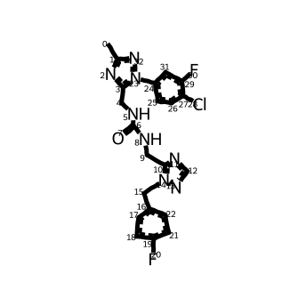 Cc1nc(CNC(=O)NCc2ncnn2Cc2ccc(F)cc2)n(-c2ccc(Cl)c(F)c2)n1